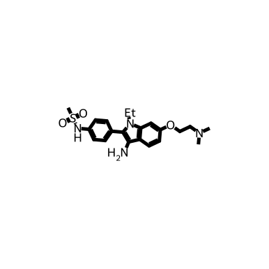 CCn1c(-c2ccc(NS(C)(=O)=O)cc2)c(N)c2ccc(OCCN(C)C)cc21